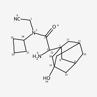 N#CCN(C(=O)C(N)C12CC3CC(CC(O)(C3)C1)C2)C1CCC1